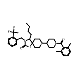 CCCCC1N(Cc2ccccc2C(F)(F)F)C(=O)OC12CCN(C1CCN(C(=O)c3c(C)cccc3C)CC1)CC2